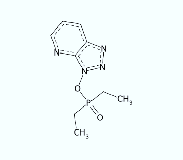 CCP(=O)(CC)On1nnc2cccnc21